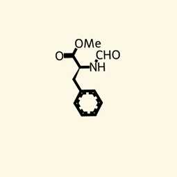 COC(=O)[C@H](Cc1ccccc1)NC=O